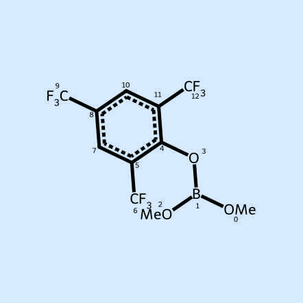 COB(OC)Oc1c(C(F)(F)F)cc(C(F)(F)F)cc1C(F)(F)F